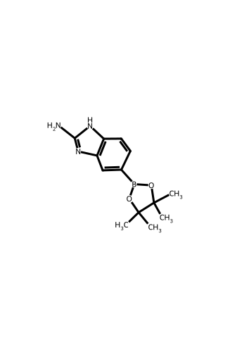 CC1(C)OB(c2ccc3[nH]c(N)nc3c2)OC1(C)C